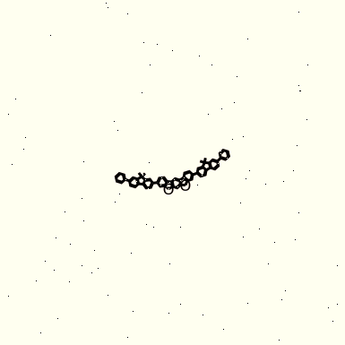 CC1(C)c2cc(-c3ccccc3)ccc2-c2ccc(-c3ccc4c(c3)oc3cc5oc6cc(-c7ccc8c(c7)C(C)(C)c7cc(-c9ccccc9)ccc7-8)ccc6c5cc34)cc21